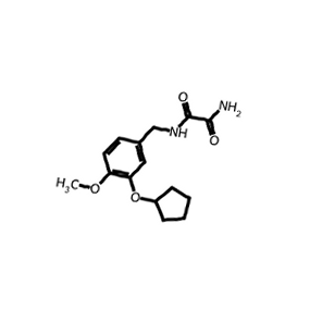 COc1ccc(CNC(=O)C(N)=O)cc1OC1CCCC1